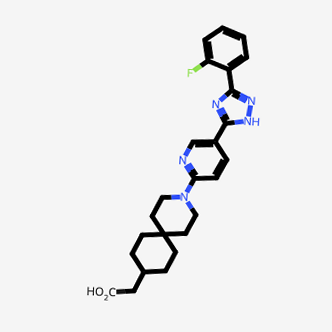 O=C(O)CC1CCC2(CC1)CCN(c1ccc(-c3nc(-c4ccccc4F)n[nH]3)cn1)CC2